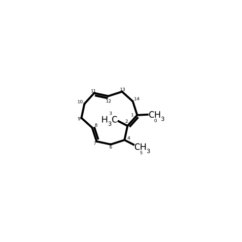 C/C1=C(/C)C(C)C/C=C/CC/C=C/CC1